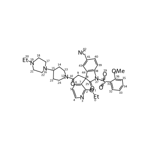 CCOc1ncccc1C1(CC(=O)N2CCC(N3CCN(CC)CC3)CC2)C(=O)N(S(=O)(=O)c2ccccc2OC)c2ccc(C#N)cc21